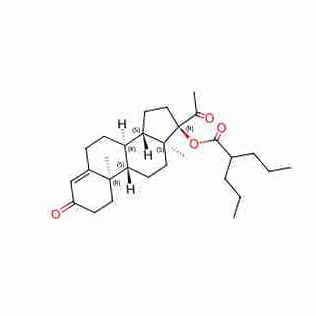 CCCC(CCC)C(=O)O[C@]1(C(C)=O)CC[C@H]2[C@@H]3CCC4=CC(=O)CC[C@]4(C)[C@H]3CC[C@@]21C